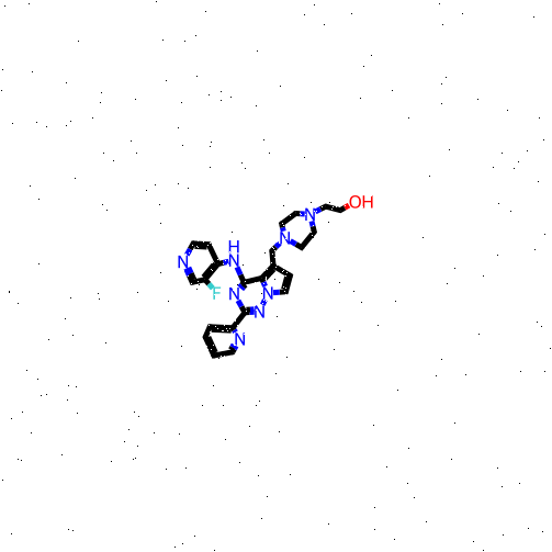 OCCN1CCN(Cc2ccn3nc(-c4ccccn4)nc(Nc4ccncc4F)c23)CC1